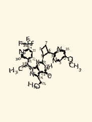 COc1cnc(C2CCC2c2nc3c(c(CO)nn3[C@@H](C)c3ccc(C(F)(F)F)nc3)c(=O)[nH]2)nc1